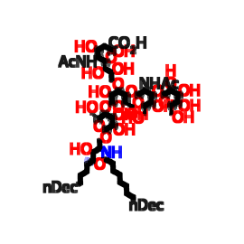 CCCCCCCCCCCCC/C=C/C(O)C(CO[C@@H]1O[C@H](CO)[C@@H](O[C@@H]2O[C@H](CO)[C@H](O[C@@H]3O[C@H](CO)[C@H](O)[C@H](O[C@@H]4O[C@H](CO)[C@H](O)[C@H](O)[C@H]4O)[C@H]3NC(C)=O)[C@H](OCC(O)C(O)[C@@H]3O[C@](O)(C(=O)O)C[C@H](O)[C@H]3NC(C)=O)[C@H]2O)[C@H](O)[C@H]1O)NC(=O)CCCCCCCCCCCCCCCCC